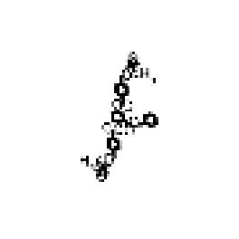 CC1(COCc2ccc(C(=O)Oc3ccc(OC(=O)c4ccc(COCC5(C)COC5)cc4)c(C(=O)OCc4ccccc4)c3)cc2)COC1